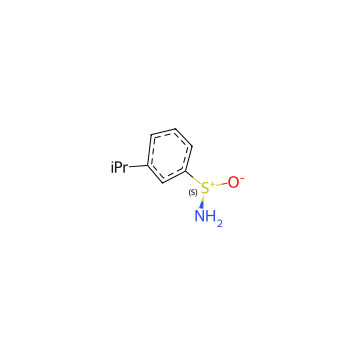 CC(C)c1cccc([S@+](N)[O-])c1